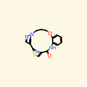 O=C1Nc2ccccc2OCCCn2cc(cn2)-c2nc1cs2